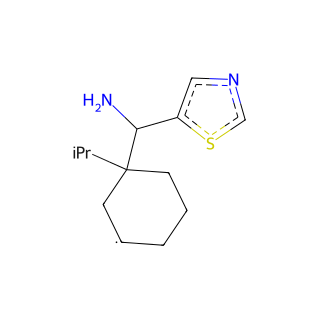 CC(C)C1(C(N)c2cncs2)C[CH]CCC1